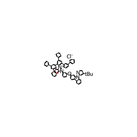 CC(C)(C)c1ccnc(-n2c3ccccc3c3ccc(Oc4cccc(-n5c[n+](-c6c(-c7cccc(-c8ccccc8)c7)cc(-c7ccccc7)cc6-c6cc(-c7ccccc7)cc(-c7ccccc7)c6)c6ccccc65)c4)cc32)c1.[Cl-]